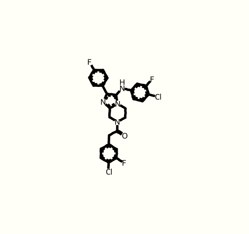 O=C(Cc1ccc(Cl)c(F)c1)N1CCn2c(nc(-c3ccc(F)cc3)c2Nc2ccc(Cl)c(F)c2)C1